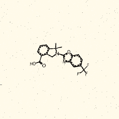 CC1(C)c2cccc(C(=O)O)c2CN1c1nc2cc(C(F)(F)F)ccc2o1